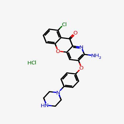 Cl.Nc1nc2c(=O)c3c(Cl)cccc3oc2cc1Oc1ccc(N2CCNCC2)cc1